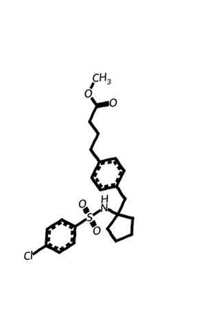 COC(=O)CCCc1ccc(CC2(NS(=O)(=O)c3ccc(Cl)cc3)CCCC2)cc1